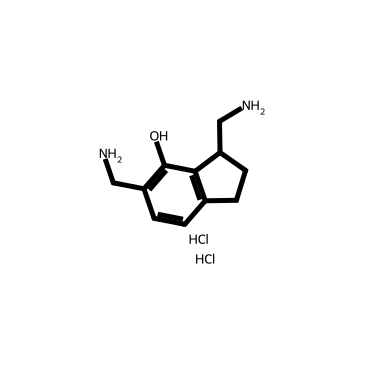 Cl.Cl.NCc1ccc2c(c1O)C(CN)CC2